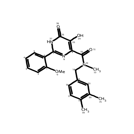 COc1ccccc1-c1nc(C(=O)N(C)Cc2ccc(C)c(C)c2)c(O)c(=O)[nH]1